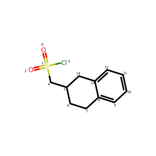 O=S(=O)(Cl)CC1CCc2ccccc2C1